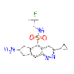 CC(C)(F)CNS(=O)(=O)c1c2c(cc3nnc(C4CC4)cc13)CC(N)C2